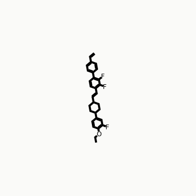 C=Cc1ccc(-c2ccc(/C=C/C3CCC(c4ccc(OCC)c(F)c4)CC3)c(F)c2F)cc1